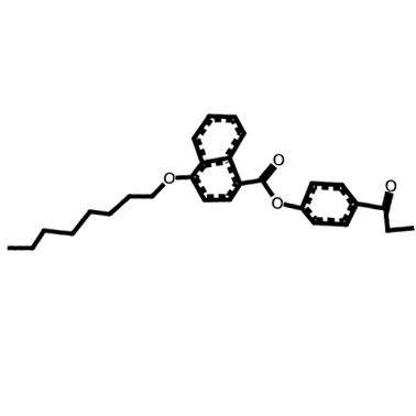 CCCCCCCCOc1ccc(C(=O)Oc2ccc(C(=O)CC)cc2)c2ccccc12